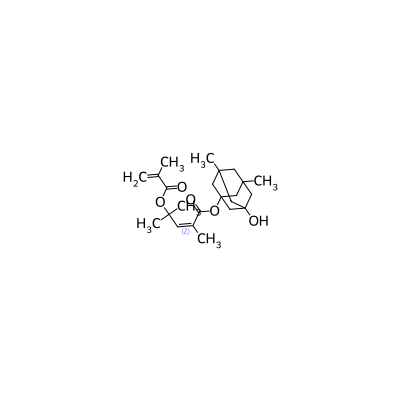 C=C(C)C(=O)OC(C)(C)/C=C(/C)C(=O)OC12CC3(C)CC(C)(CC(O)(C3)C1)C2